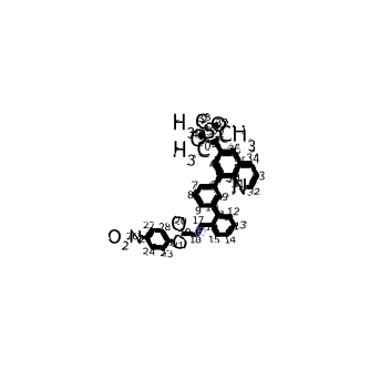 CC(C)(c1cc(-c2cccc(-c3ccccc3/C=C/C(=O)Oc3ccc([N+](=O)[O-])cc3)c2)c2ncccc2c1)S(C)(=O)=O